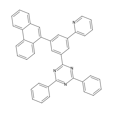 c1ccc(-c2nc(-c3ccccc3)nc(-c3cc(-c4ccccn4)cc(-c4cc5ccccc5c5ccccc45)c3)n2)cc1